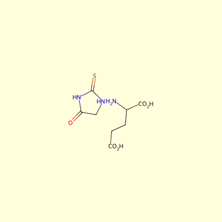 NC(CCC(=O)O)C(=O)O.O=C1CNC(=S)N1